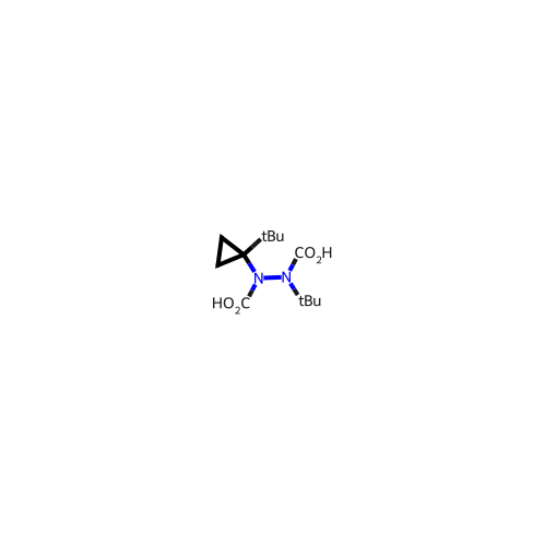 CC(C)(C)N(C(=O)O)N(C(=O)O)C1(C(C)(C)C)CC1